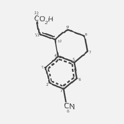 N#Cc1ccc2c(c1)CCCC2=CC(=O)O